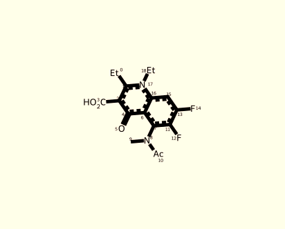 CCc1c(C(=O)O)c(=O)c2c(N(C)C(C)=O)c(F)c(F)cc2n1CC